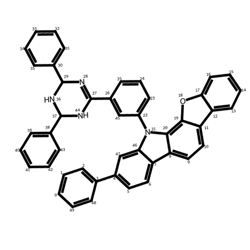 c1ccc(-c2ccc3c4ccc5c6ccccc6oc5c4n(-c4cccc(C5=NC(c6ccccc6)NC(c6ccccc6)N5)c4)c3c2)cc1